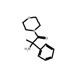 CC(N)(C(=O)N1CCOCC1)c1ccccc1